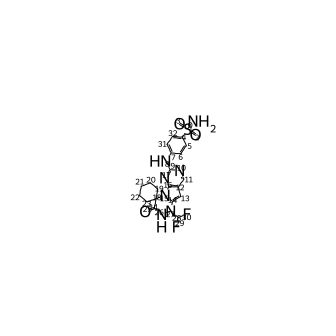 NS(=O)(=O)c1ccc(Nc2ncc3cc4n(c3n2)C2(CCCCC2)C(=O)NN4C(F)F)cc1